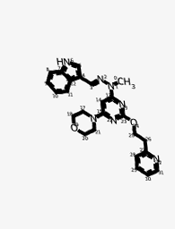 CN(N=Cc1c[nH]c2ccccc12)c1cc(N2CCOCC2)nc(OCCc2ccccn2)n1